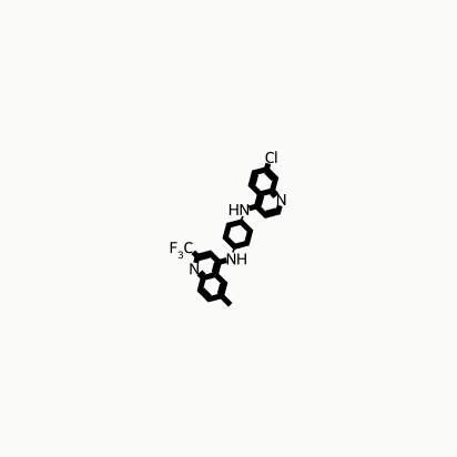 Cc1ccc2nc(C(F)(F)F)cc(N[C@H]3CC[C@@H](Nc4ccnc5cc(Cl)ccc45)CC3)c2c1